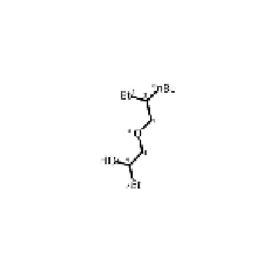 CCCCC(CC)COCC(O)CC